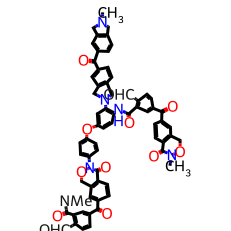 CNC(=O)c1cc(C(=O)c2ccc3c(c2)CON(c2ccc(Oc4ccc(NC(=O)c5cc(C(=O)c6ccc7c(c6)CON(C)C7=O)ccc5C=O)c(N5Cc6ccc(C(=O)c7ccc8c(c7)CN(C)C8)cc6C5)c4)cc2)C3=O)ccc1C=O